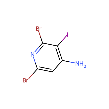 Nc1cc(Br)nc(Br)c1I